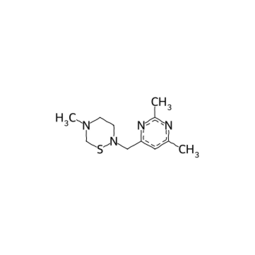 Cc1cc(CN2CCN(C)CS2)nc(C)n1